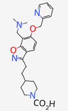 CN(C)Cc1c(OCc2ccccn2)ccc2c(CCC3CCN(C(=O)O)CC3)noc12